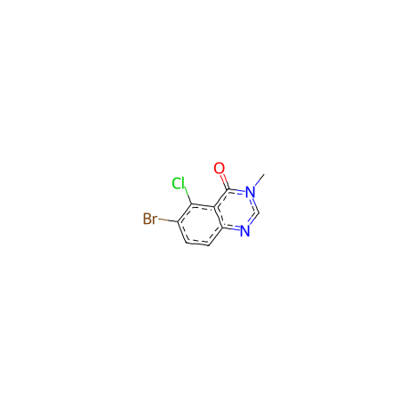 Cn1cnc2ccc(Br)c(Cl)c2c1=O